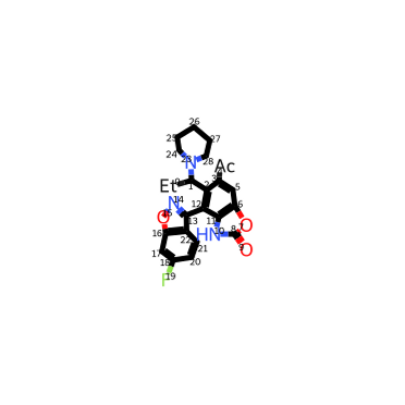 CCC(c1c(C(C)=O)cc2oc(=O)[nH]c2c1-c1noc2cc(F)ccc12)N1CCCCC1